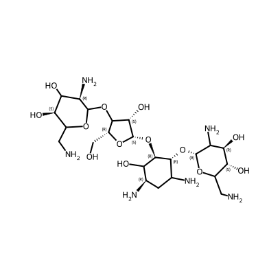 NCC1OC(OC2[C@@H](CO)O[C@@H](O[C@@H]3C(O)[C@H](N)CC(N)[C@H]3O[C@H]3OC(CN)[C@@H](O)[C@H](O)C3N)[C@H]2O)[C@H](N)C(O)[C@@H]1O